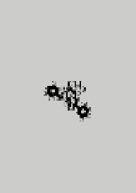 C[C@H](N)C(=O)N(CC(=O)c1ccccc1)C(=O)OCc1ccccc1